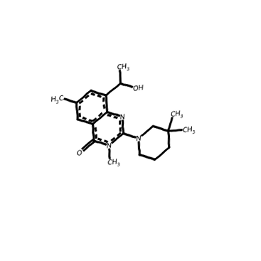 Cc1cc(C(C)O)c2nc(N3CCCC(C)(C)C3)n(C)c(=O)c2c1